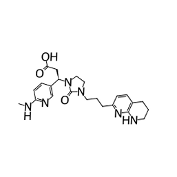 CNc1ccc([C@@H](CC(=O)O)N2CCN(CCCc3ccc4c(n3)NCCC4)C2=O)cn1